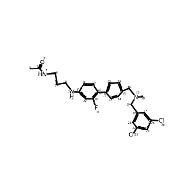 CC(=O)NCCCNc1ccc(-c2ccc(CN(C)Cc3cc(Cl)cc(Cl)c3)cc2)c(F)c1